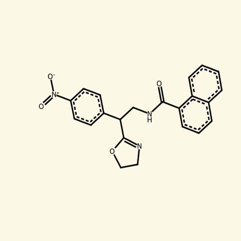 O=C(NCC(C1=NCCO1)c1ccc([N+](=O)[O-])cc1)c1cccc2ccccc12